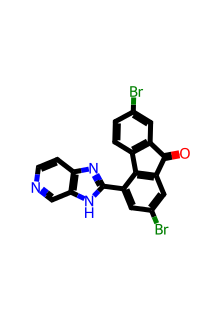 O=C1c2cc(Br)ccc2-c2c1cc(Br)cc2-c1nc2ccncc2[nH]1